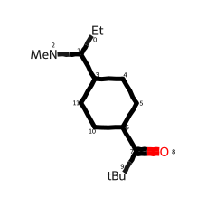 CCC(NC)C1CCC(C(=O)C(C)(C)C)CC1